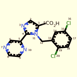 O=C(O)c1cnc(-c2cnccn2)n1Cc1cc(Cl)ccc1Cl